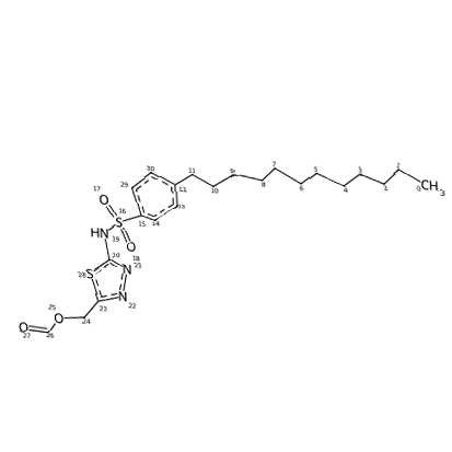 CCCCCCCCCCCCc1ccc(S(=O)(=O)Nc2nnc(COC=O)s2)cc1